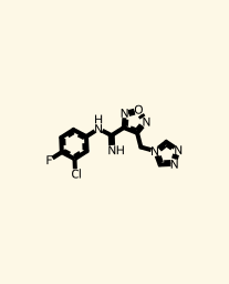 N=C(Nc1ccc(F)c(Cl)c1)c1nonc1Cn1cnnc1